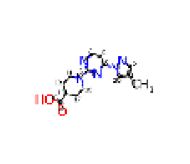 Cc1cnn(-c2ccnc(N3CCC(C(=O)O)CC3)n2)c1